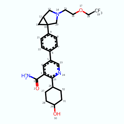 NC(=O)c1cc(-c2ccc(C34CC3CN(CCOCC(F)(F)F)C4)cc2)cnc1C1CCC(O)CC1